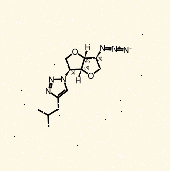 CC(C)Cc1cn([C@H]2CO[C@H]3[C@@H]2OC[C@@H]3N=[N+]=[N-])nn1